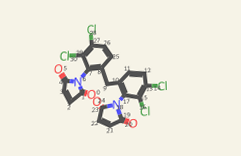 O=C1C=CC(=O)N1c1c(Cc2ccc(Cl)c(Cl)c2N2C(=O)C=CC2=O)ccc(Cl)c1Cl